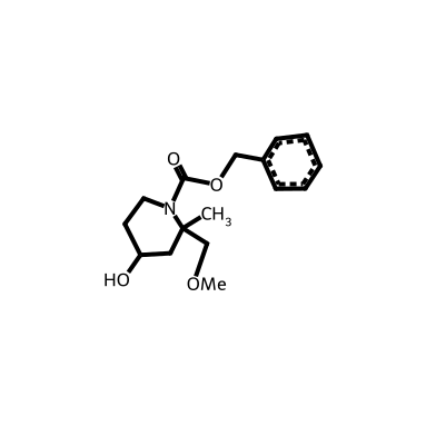 COCC1(C)CC(O)CCN1C(=O)OCc1ccccc1